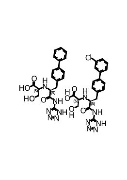 O=C(O)[C@H](CO)N[C@@H](Cc1ccc(-c2cccc(Cl)c2)cc1)C(=O)Nc1nnn[nH]1.O=C(O)[C@H](CO)N[C@@H](Cc1ccc(-c2ccccc2)cc1)C(=O)Nc1nnn[nH]1